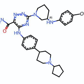 COc1ccc(N[C@@H]2CCCN(c3nnc(C(N)=O)c(Nc4ccc(C5CCN(C6CCCC6)CC5)cc4)n3)C2)cc1